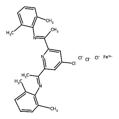 CC(=Nc1c(C)cccc1C)c1cc(Cl)cc(C(C)=Nc2c(C)cccc2C)n1.[Cl-].[Cl-].[Cl-].[Fe+3]